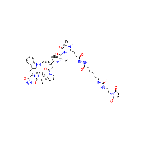 CC[C@H](C)[C@@H]([C@@H](CC(=O)N1CCC[C@H]1[C@H](OC)[C@@H](C)C(=O)N[C@@H](Cc1c[nH]c2ccccc12)C(N)=O)OC)N(C)[C@H](C(=O)NC(=O)[C@H](C(C)C)N(C)CCCC(=O)NNC(=O)CCCCCNC(=O)NCCN1C(=O)C=CC1=O)C(C)C